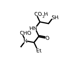 CCC(C(=O)NC(CS)C(=O)O)N(C)C=O